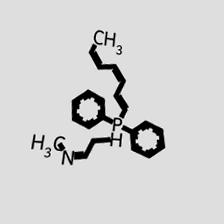 C\C=C/C=C\C=C\[PH](CC/C=N\C)(c1ccccc1)c1ccccc1